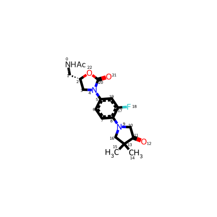 CC(=O)NC[C@H]1CN(c2ccc(N3CC(=O)C(C)(C)C3)c(F)c2)C(=O)O1